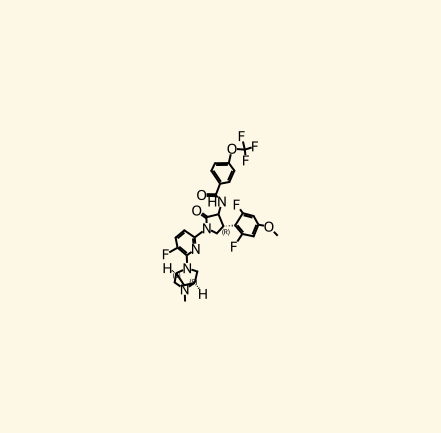 COc1cc(F)c([C@@H]2CN(c3ccc(F)c(N4C[C@@H]5C[C@H]4CN5C)n3)C(=O)C2NC(=O)c2ccc(OC(F)(F)F)cc2)c(F)c1